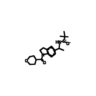 CC(N[S@+]([O-])C(C)(C)C)c1ccc2c(c1)CCN2C(=O)C1CCOCC1